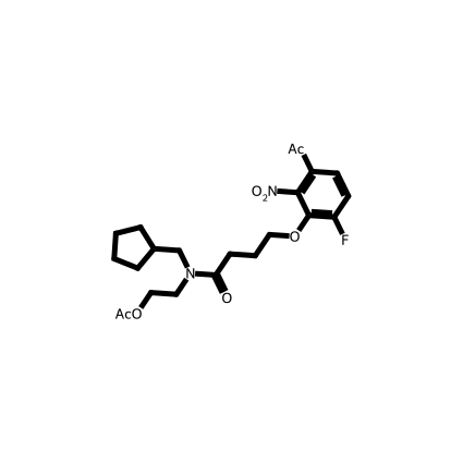 CC(=O)OCCN(CC1CCCC1)C(=O)CCCOc1c(F)ccc(C(C)=O)c1[N+](=O)[O-]